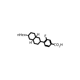 CCCCCC[C@H]1CC[C@@H]2CC(c3ccc(C(=O)O)cc3F)CC[C@H]2C1